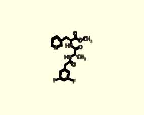 COC(=O)[C@H](Cc1cccnc1)NC(=O)[C@H](C)NC(=O)Cc1cc(F)cc(F)c1